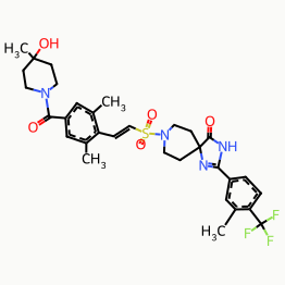 Cc1cc(C2=NC3(CCN(S(=O)(=O)C=Cc4c(C)cc(C(=O)N5CCC(C)(O)CC5)cc4C)CC3)C(=O)N2)ccc1C(F)(F)F